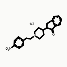 Cl.O=C1c2ccccc2CC1C1CCN(CCc2ccc([N+](=O)[O-])cc2)CC1